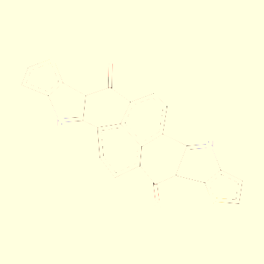 O=C1c2ccc3c4c(ccc(c24)C2=Nc4ccsc4C12)C(=O)C1C3=Nc2ccsc21